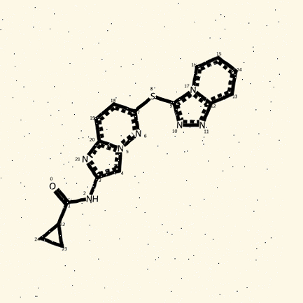 O=C(Nc1cn2nc(Sc3nnc4ccccn34)ccc2n1)C1CC1